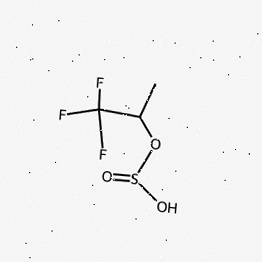 CC(OS(=O)O)C(F)(F)F